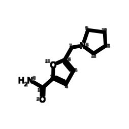 NC(=O)c1ccc(CN2CCCC2)o1